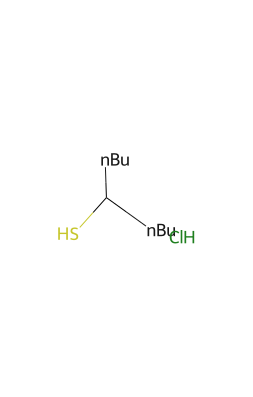 CCCCC(S)CCCC.Cl